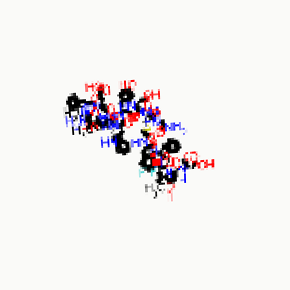 CCCC[C@@H](C(=O)N1C[C@H](O)C[C@@H]1C(=O)N[C@H](C=O)CC(=O)O)N(C)C(=O)[C@H](Cc1ccccc1)N(C)C(=O)[C@H](Cc1cc(F)c(F)c(F)c1)NC(=O)CSC[C@H](NC(=O)[C@H](CC(=O)O)NC(=O)[C@H](Cc1ccc(O)cc1)NC(=O)[C@H](Cc1c[nH]c2ccccc12)NC(=O)[C@H]1C[C@@H](O)CN1C(=O)[C@H](CCC(=O)O)NC(=O)C(Cc1ccccc1)N(C)C(=O)[C@@H](N)C(C)C)C(=O)NCC(N)=O